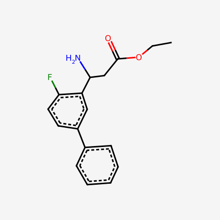 CCOC(=O)CC(N)c1cc(-c2ccccc2)ccc1F